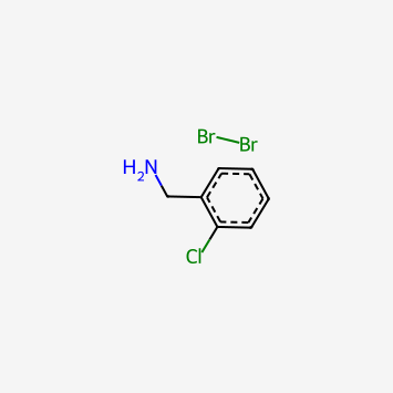 BrBr.NCc1ccccc1Cl